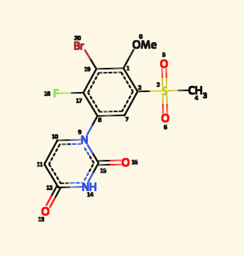 COc1c(S(C)(=O)=O)cc(-n2ccc(=O)[nH]c2=O)c(F)c1Br